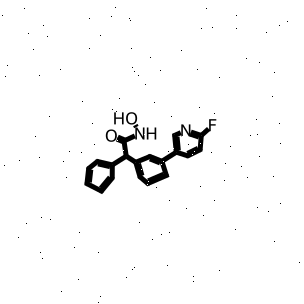 O=C(NO)C(c1ccccc1)c1cccc(-c2ccc(F)nc2)c1